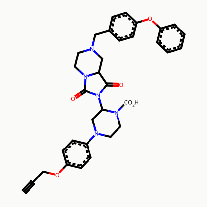 C#CCOc1ccc(N2CCN(C(=O)O)C(N3C(=O)C4CN(Cc5ccc(Oc6ccccc6)cc5)CCN4C3=O)C2)cc1